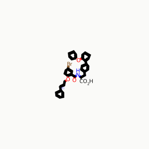 O=C(N[C@@H](Cc1ccc(-c2ccccc2Oc2ccccc2)cc1)C(=O)O)c1cc(Br)ccc1OC/C=C/c1ccccc1